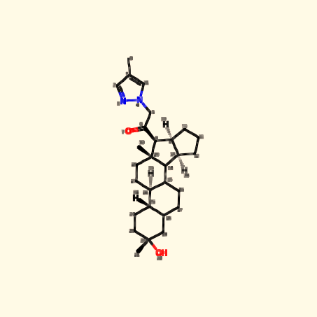 Cc1cnn(CC(=O)[C@H]2[C@H]3CCC[C@H]3C3C4CCC5C[C@](C)(O)CC[C@@H]5[C@H]4CC[C@@]32C)c1